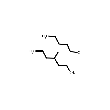 C=CCC(I)CCC.CCCCCCl